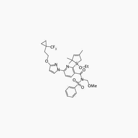 CCO[Si]1(c2nc(-n3ccc(OCCC4(C(F)(F)F)CC4)n3)ccc2C(=O)N(COC)S(=O)(=O)c2ccccc2)CC(C)=CC1(C)C